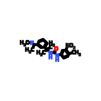 C/N=C(\C)c1cccc(C(C)(C)NC(=O)Nc2ccc(C)c([N+](=O)[O-])c2)c1